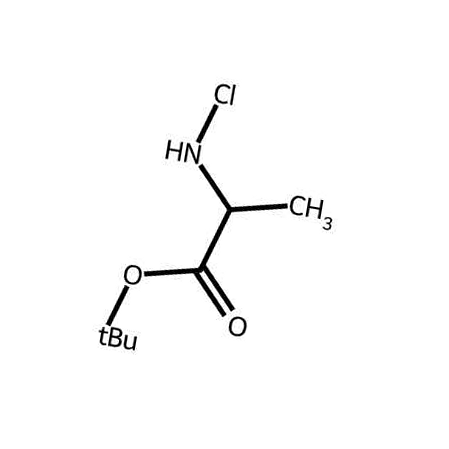 CC(NCl)C(=O)OC(C)(C)C